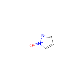 O=[N+]1C=CC=N1